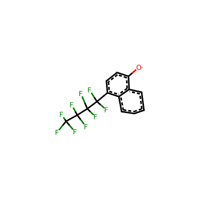 [O]c1ccc(C(F)(F)C(F)(F)C(F)(F)C(F)(F)F)c2ccccc12